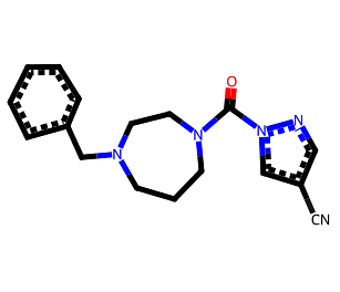 N#Cc1cnn(C(=O)N2CCCN(Cc3ccccc3)CC2)c1